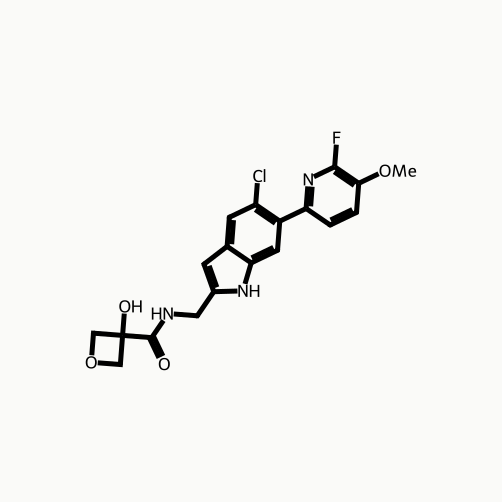 COc1ccc(-c2cc3[nH]c(CNC(=O)C4(O)COC4)cc3cc2Cl)nc1F